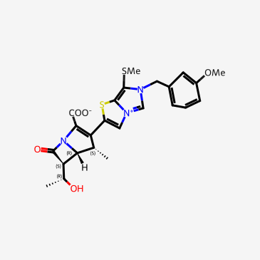 COc1cccc(Cn2c[n+]3cc(C4=C(C(=O)[O-])N5C(=O)[C@H]([C@@H](C)O)[C@H]5[C@H]4C)sc3c2SC)c1